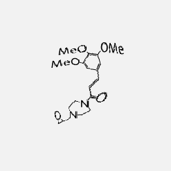 COc1cc(/C=C/C(=O)N2CCN(CC3CO3)CC2)cc(OC)c1OC